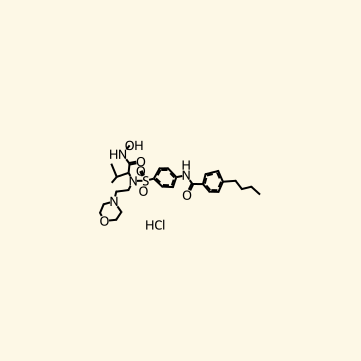 CCCCc1ccc(C(=O)Nc2ccc(S(=O)(=O)N(CCN3CCOCC3)C(C(=O)NO)C(C)C)cc2)cc1.Cl